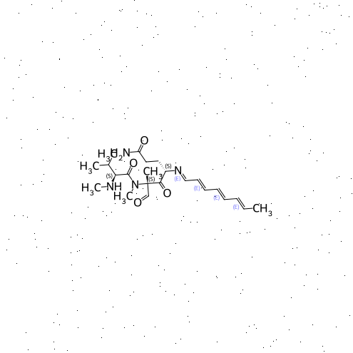 C/C=C/C=C/C=C/C=N/[C@@H](CCC(N)=O)C(=O)[C@](C)(C=O)N(C)C(=O)[C@@H](NC)C(C)C